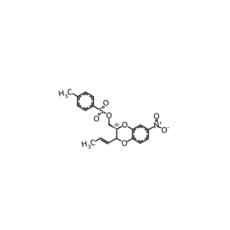 CC=CC1Oc2ccc([N+](=O)[O-])cc2O[C@@H]1COS(=O)(=O)c1ccc(C)cc1